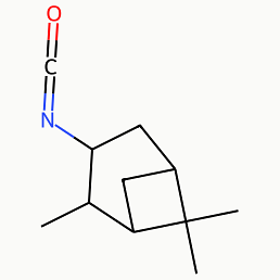 CC1C(N=C=O)CC2CC1C2(C)C